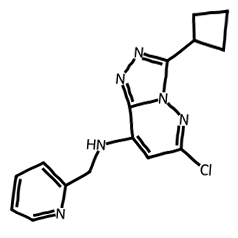 Clc1cc(NCc2ccccn2)c2nnc(C3CCC3)n2n1